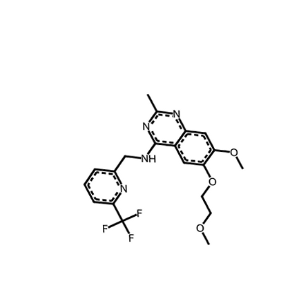 COCCOc1cc2c(NCc3cccc(C(F)(F)F)n3)nc(C)nc2cc1OC